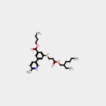 CCCCOC(=O)c1cc(SCCC(=O)OCC(CC)CCCC)cc(-c2ccc(C)nc2)c1